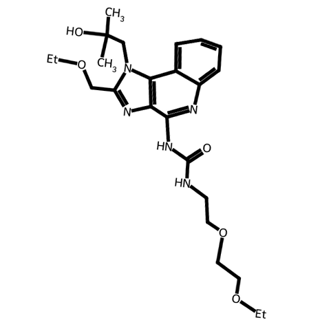 CCOCCOCCNC(=O)Nc1nc2ccccc2c2c1nc(COCC)n2CC(C)(C)O